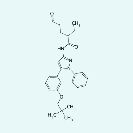 CCC(CCC=O)C(=O)Nc1cc(-c2cccc(OCC(C)(C)C)c2)n(-c2ccccc2)n1